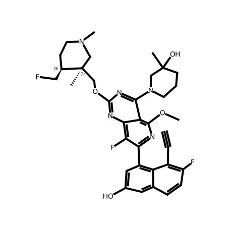 C#Cc1c(F)ccc2cc(O)cc(-c3nc(OC)c4c(N5CCCC(C)(O)C5)nc(OC[C@]5(C)CN(C)CC[C@@H]5CF)nc4c3F)c12